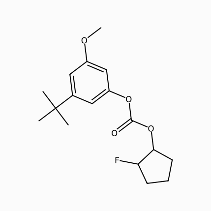 COc1cc(OC(=O)OC2CCCC2F)cc(C(C)(C)C)c1